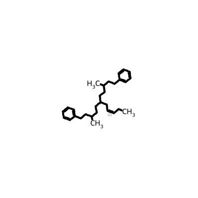 CC/C=C\C[C](CCC(C)CCc1ccccc1)CCC(C)CCc1ccccc1